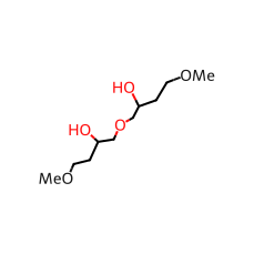 COCCC(O)COCC(O)CCOC